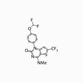 CNc1nc(=O)n(-c2ccc(OC(F)F)cc2)c2cc(C(F)(F)F)sc12